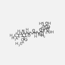 CCOC(=O)C1=C[C@@H](OC(CC)CC)[C@H](N)[C@@H](NC(=O)CCC(=O)NC[C@H](N)C(=O)N[C@@H](CC(=O)O)C(=O)N[C@@H](CS)C(=O)O)C1